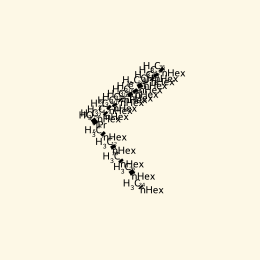 CC(C)O.CCCCCCC.CCCCCCC.CCCCCCC.CCCCCCC.CCCCCCC.CCCCCCC.CCCCCCC.CCCCCCC.CCCCCCC.CCCCCCC.CCCCCCC.CCCCCCC.CCCCCCC.CCCCCCC.CCCCCCC.CCCCCCC.CCCCCCC.CCCCCCC